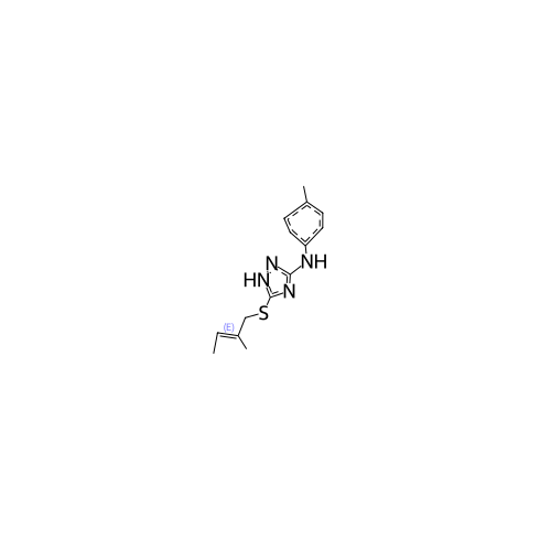 C/C=C(\C)CSc1nc(Nc2ccc(C)cc2)n[nH]1